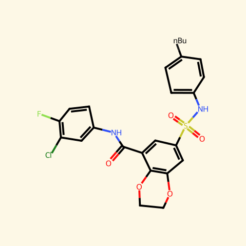 CCCCc1ccc(NS(=O)(=O)c2cc3c(c(C(=O)Nc4ccc(F)c(Cl)c4)c2)OCCO3)cc1